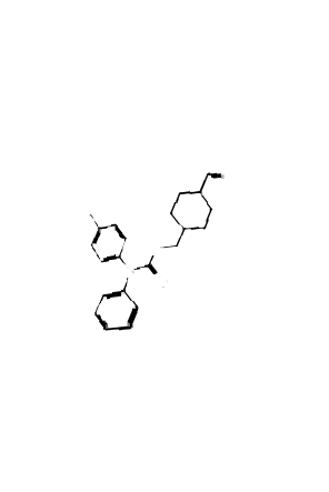 C=CC1CCC(COC(=O)N(c2ccccc2)c2ccc(Cl)cc2)CC1